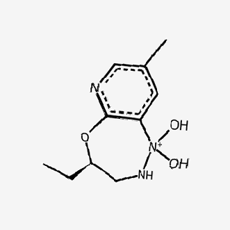 CC[C@@H]1CN[N+](O)(O)c2cc(C)cnc2O1